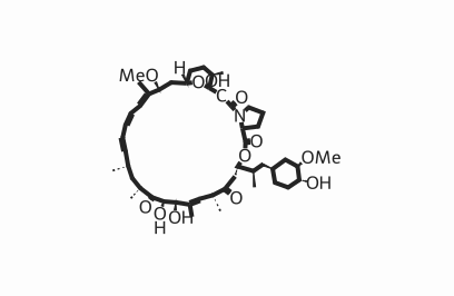 CO[C@H]1C[C@@H]2CC[C@@H](C)[C@](O)(CC(=O)N3CCCC3C(=O)O[C@H]([C@H](C)C[C@@H]3CC[C@@H](O)[C@H](OC)C3)CC(=O)[C@H](C)/C=C(\C)[C@@H](O)[C@@H](O)C(=O)[C@H](C)C[C@H](C)/C=C/C=C/C=C/1C)O2